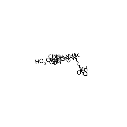 CC(=O)N(CCCCCCNC(=O)c1ccccc1)CCC(=O)Nc1ccc(OC(O)C(O)C(O)C(O)C(C)C(=O)O)cc1